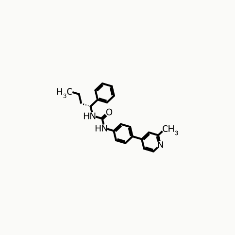 CCC[C@@H](NC(=O)Nc1ccc(-c2ccnc(C)c2)cc1)c1ccccc1